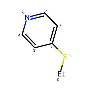 CCSc1[c]cncc1